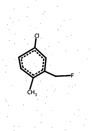 Cc1ccc(Cl)cc1CF